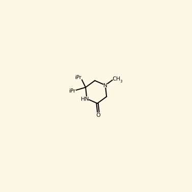 CC(C)C1(C(C)C)CN(C)CC(=O)N1